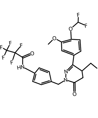 CCC1CC(=O)N(Cc2ccc(NC(=O)C(F)(F)C(F)(F)F)cc2)N=C1c1ccc(OC(F)F)c(OC)c1